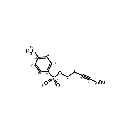 CCCCC#CCCOS(=O)(=O)c1ccc(C)cc1